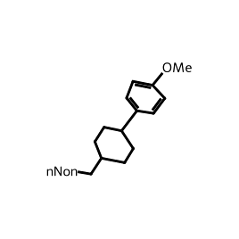 CCCCCCCCCCC1CCC(c2ccc(OC)cc2)CC1